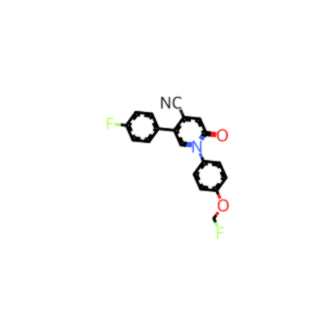 N#Cc1cc(=O)n(-c2ccc(OCF)cc2)cc1-c1ccc(F)cc1